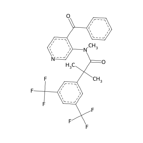 CN(C(=O)C(C)(C)c1cc(C(F)(F)F)cc(C(F)(F)F)c1)c1cnccc1C(=O)c1ccccc1